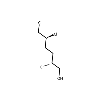 OC[C@H](Cl)CC[C@H](Cl)CCl